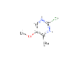 CCOc1cnc(Cl)nc1C(C)(C)C